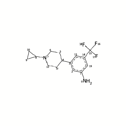 Nc1cc(C2CCN(C3CC3)CC2)cc(C(F)(F)F)c1